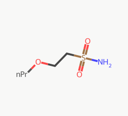 CCCOCCS(N)(=O)=O